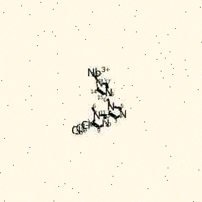 Cn1ccnc1.Cn1ccnc1.Cn1ccnc1.[Cl-].[Cl-].[Cl-].[Nb+3]